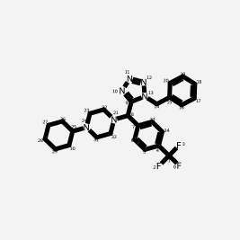 FC(F)(F)c1ccc(C(c2nnnn2Cc2ccccc2)N2CCN(C3CCCCC3)CC2)cc1